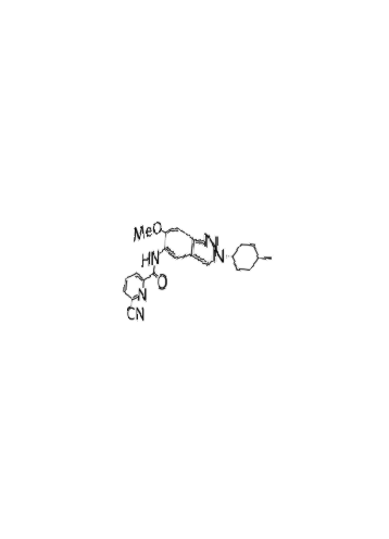 COc1cc2nn([C@H]3CC[C@H](C)CC3)cc2cc1NC(=O)c1cccc(C#N)n1